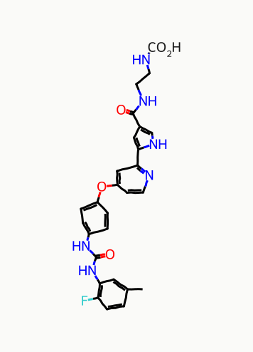 Cc1ccc(F)c(NC(=O)Nc2ccc(Oc3ccnc(-c4cc(C(=O)NCCNC(=O)O)c[nH]4)c3)cc2)c1